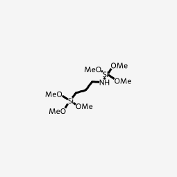 CO[Si](CCCN[Si](OC)(OC)OC)(OC)OC